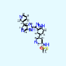 CCS(=O)(=S)Nc1cncc(-c2ccc3[nH]nc(-c4nc5c(-c6cccnc6)cncc5[nH]4)c3c2)c1